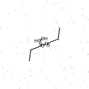 CCCCCCCC/C=C\CCCCCCCC(=O)OCCOC(=O)CCCCCCC/C=C\CCCCCCCC.OCCO